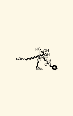 CCCCCCCCCCCCCCCCCCN(C(=O)OCCCCCCCCCCCCCC)[C@@H]1O[C@H](CO)[C@H](O)[C@H](O)[C@H]1NC(=O)CNC(=O)OCc1ccccc1